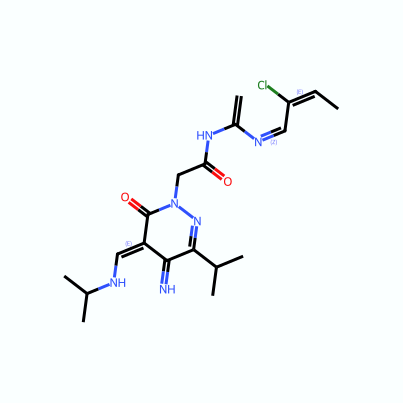 C=C(/N=C\C(Cl)=C/C)NC(=O)CN1N=C(C(C)C)C(=N)/C(=C\NC(C)C)C1=O